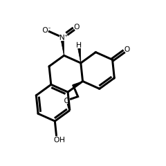 O=C1C=C[C@]23CCOc4c(O)ccc(c42)C[C@@H]([N+](=O)[O-])[C@@H]3C1